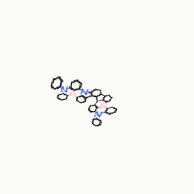 c1ccc(N2c3ccccc3B3c4cccc5c4C(c4cccc2c43)c2c-5ccc3c2c2cccc4c2n3-c2cccc3c2B4c2ccccc2N3c2ccccc2)cc1